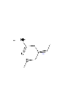 C/C=C(/COC)CC(=O)NC